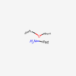 CCCCCN.CCCCCOCCCCC